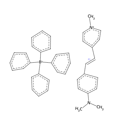 CN(C)c1ccc(/C=C/c2cc[n+](C)cc2)cc1.c1ccc([B-](c2ccccc2)(c2ccccc2)c2ccccc2)cc1